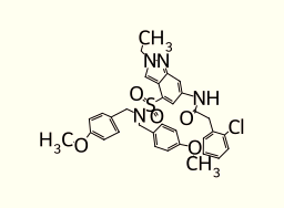 CCn1cc2c(S(=O)(=O)N(Cc3ccc(OC)cc3)Cc3ccc(OC)cc3)cc(NC(=O)Cc3ccccc3Cl)cc2n1